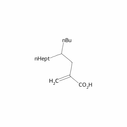 C=C(CC(CCCC)CCCCCCC)C(=O)O